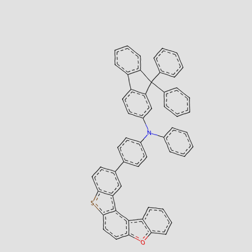 c1ccc(N(c2ccc(-c3ccc4sc5ccc6oc7ccccc7c6c5c4c3)cc2)c2ccc3c(c2)C(c2ccccc2)(c2ccccc2)c2ccccc2-3)cc1